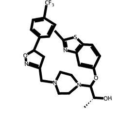 Cc1nc2cc(OC([C@@H](C)O)N3CCN(CC4=NOC(c5ccc(C(F)(F)F)cc5)C4)CC3)ccc2s1